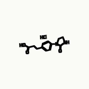 Cl.O=C(O)CCc1ccc(N2CCNC2=O)cc1